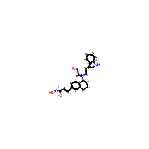 O=C(/C=C/c1ccc2c(c1)CCC[C@@H]2N(CCO)CCc1c[nH]c2ccccc12)NO